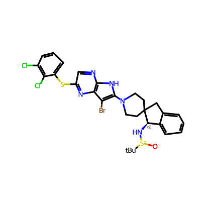 CC(C)(C)[S+]([O-])N[C@@H]1c2ccccc2CC12CCN(c1[nH]c3ncc(Sc4cccc(Cl)c4Cl)nc3c1Br)CC2